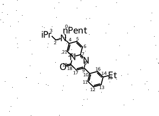 CCCCCN(CC(C)C)c1ccc2nc(-c3cccc(CC)c3)cc(=O)n2c1